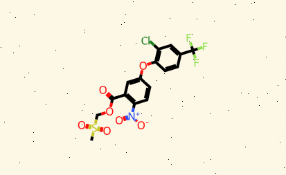 CS(=O)(=O)COC(=O)c1cc(Oc2ccc(C(F)(F)F)cc2Cl)ccc1[N+](=O)[O-]